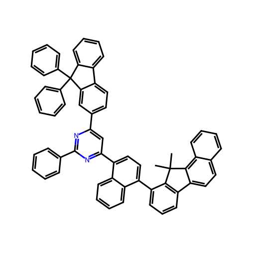 CC1(C)c2c(cccc2-c2ccc(-c3cc(-c4ccc5c(c4)C(c4ccccc4)(c4ccccc4)c4ccccc4-5)nc(-c4ccccc4)n3)c3ccccc23)-c2ccc3ccccc3c21